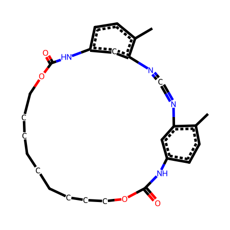 Cc1ccc2cc1N=C=Nc1cc(ccc1C)NC(=O)OCCCCCCCCCOC(=O)N2